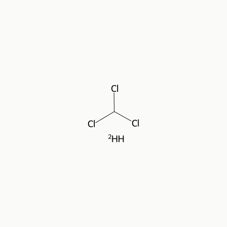 ClC(Cl)Cl.[2HH]